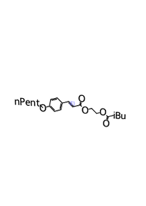 CCCCCOc1ccc(/C=C/C(=O)OCCOC(=O)C(C)CC)cc1